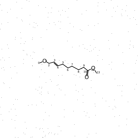 COCC=CCCCCCC(=O)OC